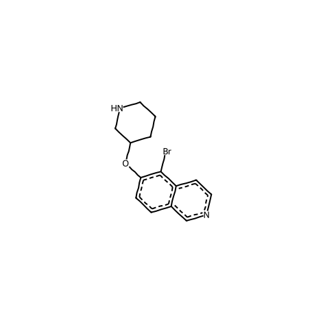 Brc1c(OC2CCCNC2)ccc2cnccc12